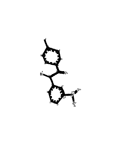 Cc1ccc(C(=O)C(Br)c2cccc([N+](=O)[O-])c2)cc1